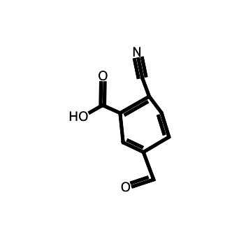 N#Cc1ccc(C=O)cc1C(=O)O